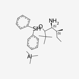 CC[C@H](C)[C@H](N)C(O[SiH](c1ccccc1)c1ccccc1)C(C)(C)C.[CH3][Al]([CH3])[CH3]